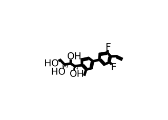 C=Cc1c(F)cc(-c2ccc([C@@H](O)C(O)[C@H](O)CO)c(C)c2)cc1F